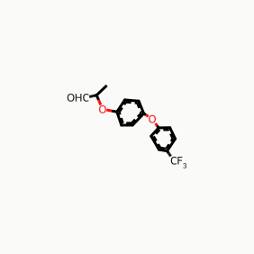 CC(C=O)Oc1ccc(Oc2ccc(C(F)(F)F)cc2)cc1